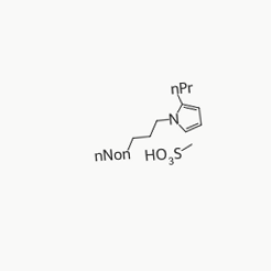 CCCCCCCCCCCCn1cccc1CCC.CS(=O)(=O)O